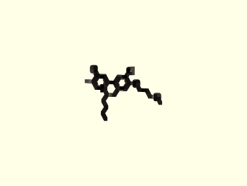 CCCCC1Cc2cc(OCCCOC)c(Cl)cc2-c2cc(=O)c(C)cn21